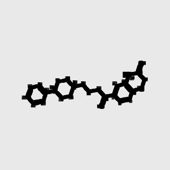 O=C1COc2ccc(C(=O)CCCN3CCN(c4ccccc4)CC3)cc2N1